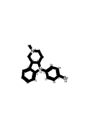 CN1CCC2C(C1)c1ccccc1N2c1ccc(Br)cc1